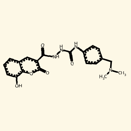 CN(C)Cc1ccc(NC(=O)NNC(=O)c2cc3cccc(O)c3oc2=O)cc1